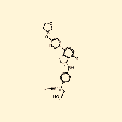 CC#C[C@@H](CC(=O)O)c1ccc(N[C@@H]2CCc3c(-c4ccc(O[C@@H]5CCOC5)nc4)ccc(F)c32)cc1